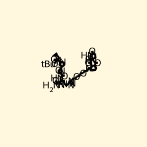 CC(C)(C)OC(=O)N(CC1CC1)c1cc(-c2nc(C(=O)Nc3cn(Cc4cn(CCOCCOCCNc5cccc6c5C(=O)N(C5CCC(=O)NC5=O)C6=O)nn4)nc3C(N)=O)co2)ccn1